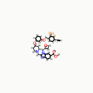 C#Cc1ccc(COc2cccc(OC3CCN(Cc4nc5ccc(C(=O)OC)cc5n4C[C@@H]4CCO4)CC3)c2)c(P)c1